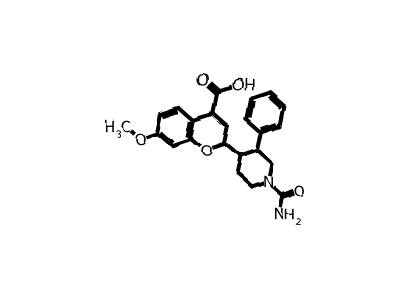 COc1ccc2c(c1)OC(C1CCN(C(N)=O)CC1c1ccccc1)CC2C(=O)O